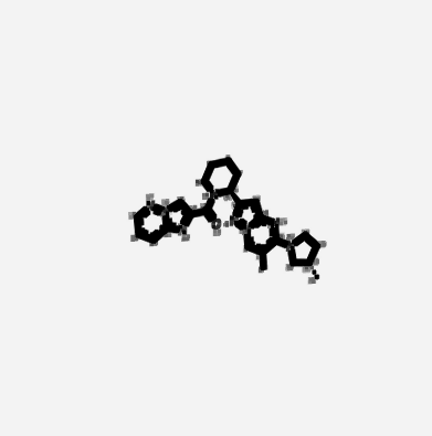 Cc1cn2nc([C@@H]3CCCCN3C(=O)c3cn4ncccc4n3)cc2nc1N1CC[C@H](C)C1